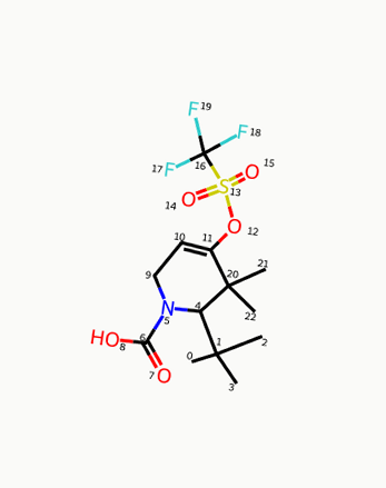 CC(C)(C)C1N(C(=O)O)CC=C(OS(=O)(=O)C(F)(F)F)C1(C)C